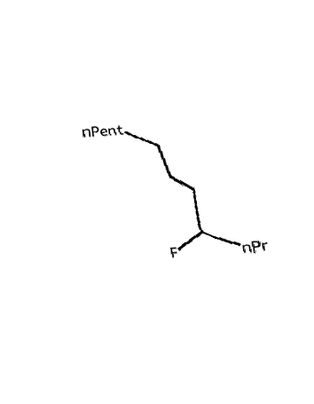 [CH2]CCC(F)CCCCCCCC